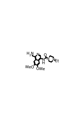 CCN1CCN(C(=O)Nc2cnc(CN)c3cc(OC)c(OC)cc23)CC1